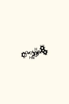 N=CC(=O)C(COCCOC1CCCCO1)NC(=O)OCC1c2ccccc2-c2ccccc21